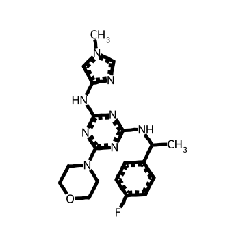 CC(Nc1nc(Nc2cn(C)cn2)nc(N2CCOCC2)n1)c1ccc(F)cc1